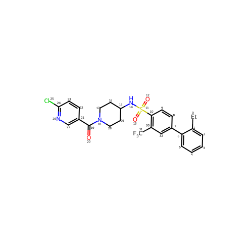 CCc1ccccc1-c1ccc(S(=O)(=O)NC2CCN(C(=O)c3ccc(Cl)nc3)CC2)c(C(F)(F)F)c1